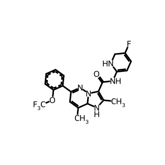 CC1=CC(c2ccccc2OC(F)(F)F)=NN2C(C(=O)NC3=CC=C(F)CN3)=C(C)NC12